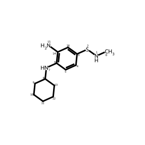 CNSc1ccc(NC2CCCCC2)c(N)c1